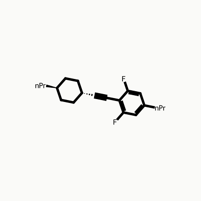 CCCc1cc(F)c(C#C[C@H]2CC[C@H](CCC)CC2)c(F)c1